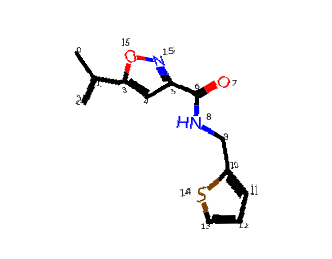 CC(C)c1cc(C(=O)NCc2cccs2)no1